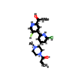 C=CC(=O)N1CCN(C(C)=O)[C@H](c2cc(Cl)nc(-c3cc(C(=O)NC)ncc3F)c2)C1